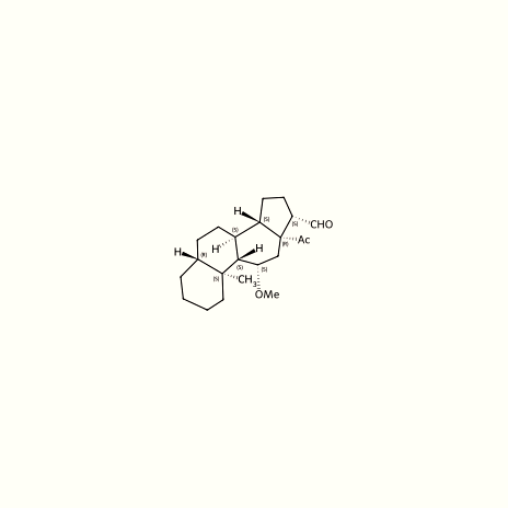 CO[C@H]1C[C@]2(C(C)=O)[C@@H](C=O)CC[C@H]2[C@@H]2CC[C@H]3CCCC[C@]3(C)[C@H]21